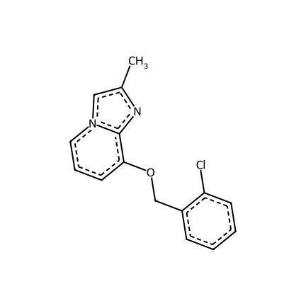 Cc1cn2cccc(OCc3ccccc3Cl)c2n1